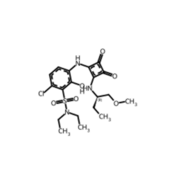 CC[C@H](COC)Nc1c(Nc2ccc(Cl)c(S(=O)(=O)N(CC)CC)c2O)c(=O)c1=O